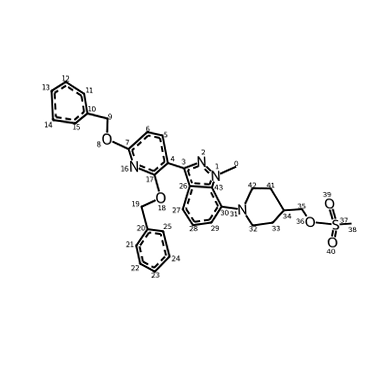 Cn1nc(-c2ccc(OCc3ccccc3)nc2OCc2ccccc2)c2cccc(N3CCC(COS(C)(=O)=O)CC3)c21